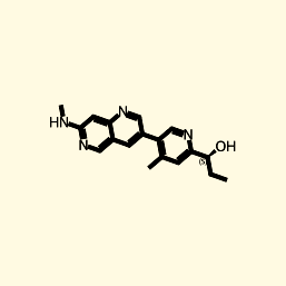 CC[C@H](O)c1cc(C)c(-c2cnc3cc(NC)ncc3c2)cn1